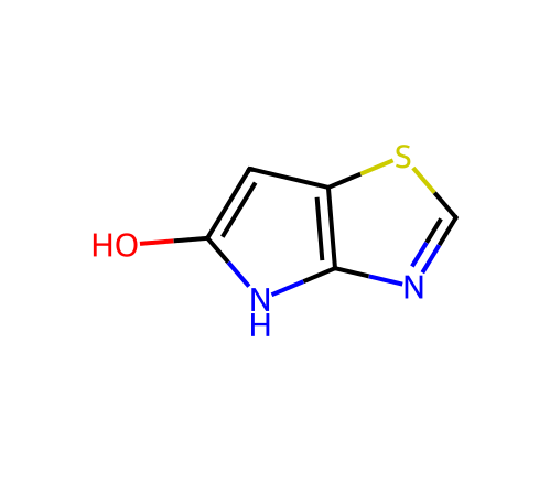 Oc1cc2scnc2[nH]1